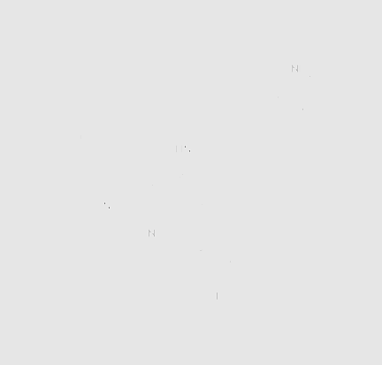 NS(=O)(=O)c1cccc(NC(=O)c2cc(C(F)(F)F)cnc2N2CCCC3(C2)CC3(F)F)c1